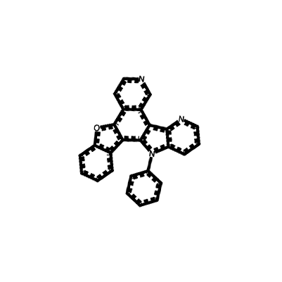 c1ccc(-n2c3cccnc3c3c4cnccc4c4oc5ccccc5c4c32)cc1